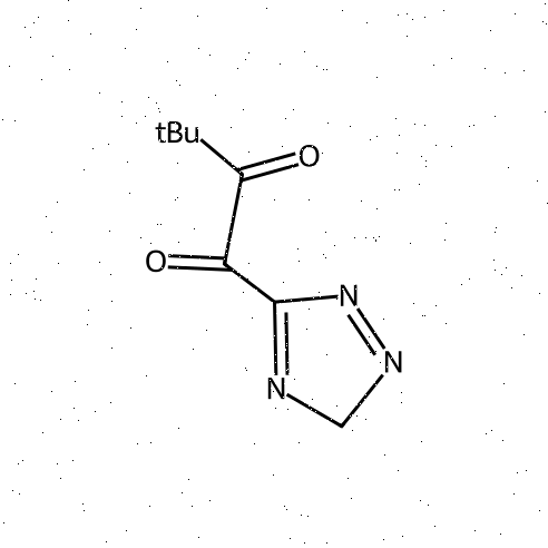 CC(C)(C)C(=O)C(=O)C1=NCN=N1